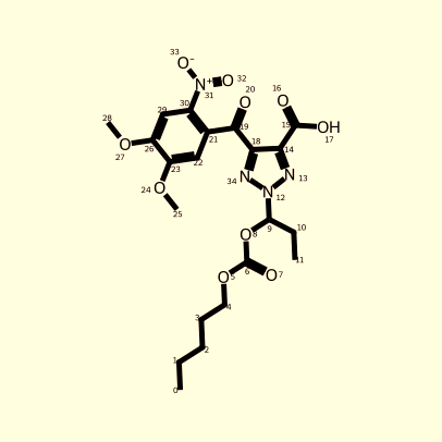 CCCCCOC(=O)OC(CC)n1nc(C(=O)O)c(C(=O)c2cc(OC)c(OC)cc2[N+](=O)[O-])n1